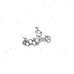 C=C(C)[C@@H]1CC[C@]2(C)CC[C@]3(C)[C@H](CC[C@@H]4[C@@]5(C)CC[C@](CCC[N+]6(C(N)=O)CCCC6)(OC(=O)CC(C)(C)CC(=O)OC)C(C)(C)[C@@H]5CC[C@]43C)[C@@H]12